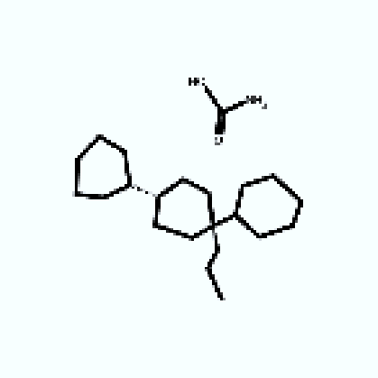 CCC[C@]1(C2CCCCC2)CC[C@@H](C2CCCCC2)CC1.NC(=O)O